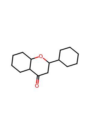 O=C1CC(C2CCCCC2)OC2CCCCC12